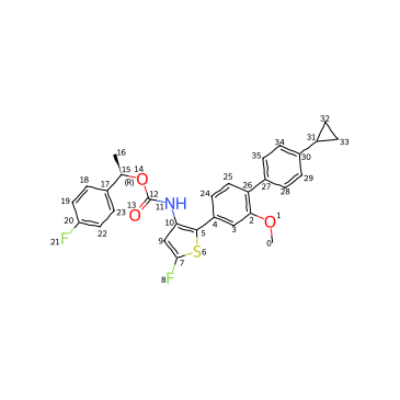 COc1cc(-c2sc(F)cc2NC(=O)O[C@H](C)c2ccc(F)cc2)ccc1-c1ccc(C2CC2)cc1